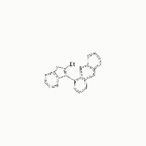 CCC1=C(c2cccc3cc4ccccc4cc23)c2ccccc2[CH]1